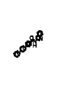 O=C(Nc1cnc2ccccc2c1)c1ccc(N2CCC(N3CCCCC3)CC2)cc1